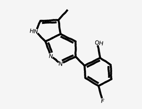 Cc1c[nH]c2nnc(-c3cc(F)ccc3O)cc12